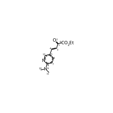 CCOC(=O)C(=O)C=Cc1ccc(N(C)C)nc1